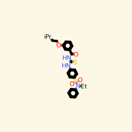 CCN(c1ccccc1)S(=O)(=O)c1ccc(NC(=S)NC(=O)c2cccc(OCCC(C)C)c2)cc1